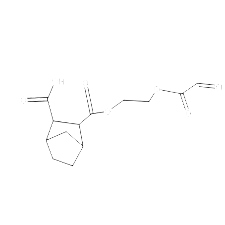 C=CC(=O)OCCOC(=O)C1C2CCC(C2)C1C(=O)O